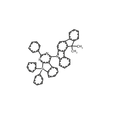 CC1(C)c2ccccc2-c2ccc3c(c21)c1ccccc1n3-c1nc(-c2ccccc2)nc2c1-c1ccccc1[Si]2(c1ccccc1)c1ccccc1